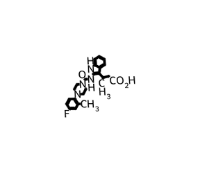 Cc1cc(F)ccc1N1CCN(C(=O)Nc2[nH]c3ccccc3c2C(C)CC(=O)O)CC1